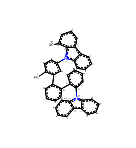 N#Cc1ccc(-n2c3ccccc3c3cccc(C#N)c32)cc1-c1ccccc1-c1ccccc1-n1c2ccccc2c2ccccc21